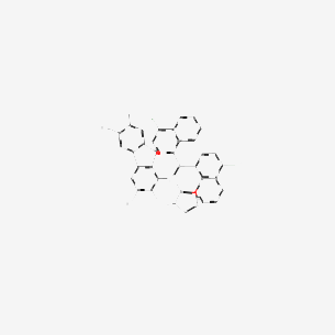 CC(C)(C)c1cc2c(cc1C(C)(C)C)-c1cc(C(C)(C)C)c(C(C)(C)C)[c]([Zr+2]([C]3=CC=CC3)=[C](c3ccc(Cl)c4ccccc34)c3ccc(Cl)c4ccccc34)c1C2.[Cl-].[Cl-]